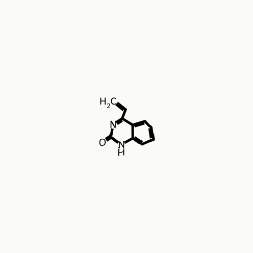 C=Cc1nc(=O)[nH]c2ccccc12